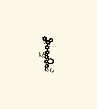 C/C=C\c1ccc(-c2ccccccc(-c3ccc4c(c3)-c3ccc(-c5ccc6c(c5)oc5c7ccccc7c7c8ccccc8oc7c65)cc3C4(C)C)c3ccccc23)cc1C